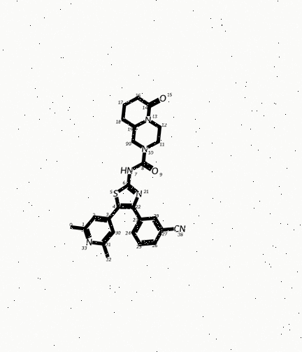 Cc1cc(-c2sc(NC(=O)N3CCN4C(=O)CCCC4C3)nc2-c2cccc(C#N)c2)cc(C)n1